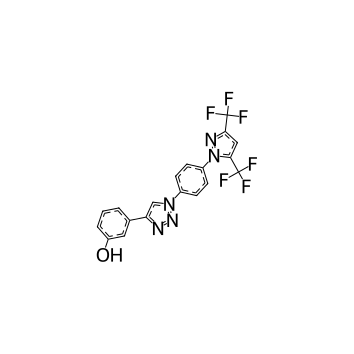 Oc1cccc(-c2cn(-c3ccc(-n4nc(C(F)(F)F)cc4C(F)(F)F)cc3)nn2)c1